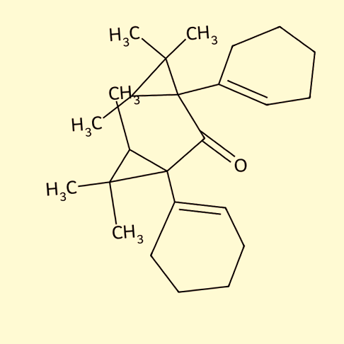 CC1C(C)(C)C1(C(=O)C1(C2=CCCCC2)C(C)C1(C)C)C1=CCCCC1